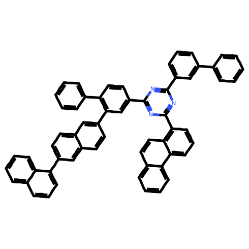 c1ccc(-c2cccc(-c3nc(-c4ccc(-c5ccccc5)c(-c5ccc6cc(-c7cccc8ccccc78)ccc6c5)c4)nc(-c4cccc5c4ccc4ccccc45)n3)c2)cc1